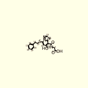 O=C(O)CNC(=O)c1c(O)cc(SCCc2ccccc2)n2ncnc12